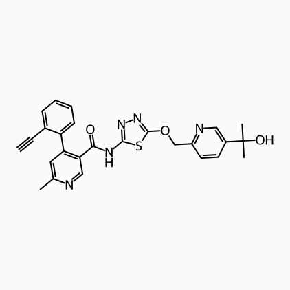 C#Cc1ccccc1-c1cc(C)ncc1C(=O)Nc1nnc(OCc2ccc(C(C)(C)O)cn2)s1